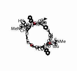 CN[C@@H](C)C(=O)N[C@H](C(=O)N1CC2CC1C(=O)N[C@@H](Cc1ccc3ccccc3c1)C(=O)N[C@H](C(=O)NS(=O)(=O)C1CC1)Cc1ccc(cc1)OCc1cn(nn1)C1C[C@@H](C(=O)N[C@@H](Cc3ccc4ccccc4c3)C(=O)N[C@H](C(=O)O)Cc3ccc(cc3)OC/C=C/CO2)N(C(=O)[C@@H](NC(=O)[C@H](C)NC)C(C)(C)C)C1)C1CCNCC1